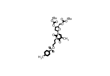 Cc1ccc(S(=O)(=O)OCCCn2c(=O)c(C)cn([C@H]3C[C@H](OC(=O)OC(C)(C)C)[C@@H](COC(=O)OC(C)(C)C)O3)c2=O)cc1